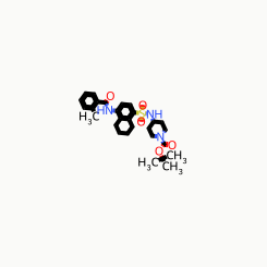 Cc1ccccc1C(=O)Nc1ccc(S(=O)(=O)NC2CCN(C(=O)OC(C)(C)C)CC2)c2c1CCCC2